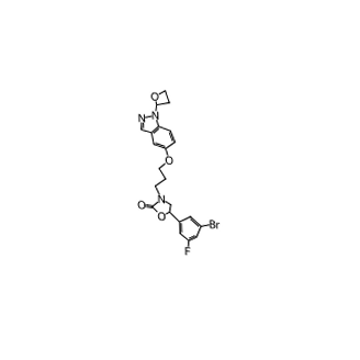 O=C1OC(c2cc(F)cc(Br)c2)CN1CCCOc1ccc2c(cnn2C2CCO2)c1